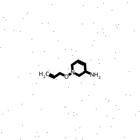 C=CCON1CC=CC(N)C1